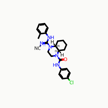 Cc1ccccc1N/C(=N/C#N)N1CCN(C(=O)Nc2ccc(Cl)cc2)[C@H]2CCCC[C@H]21